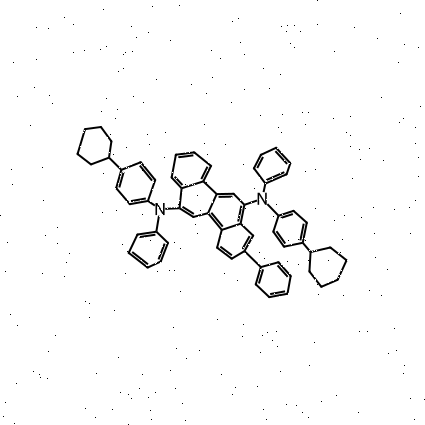 c1ccc(-c2ccc3c(c2)c(N(c2ccccc2)c2ccc(C4CCCCC4)cc2)cc2c4ccccc4c(N(c4ccccc4)c4ccc(C5CCCCC5)cc4)cc32)cc1